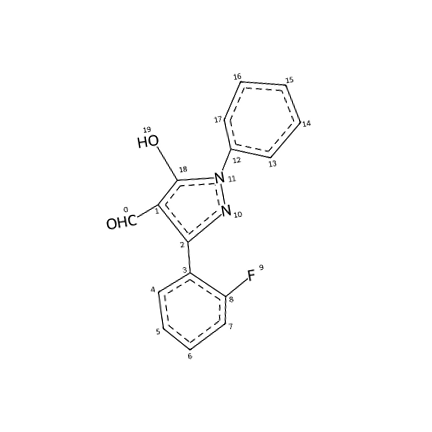 O=Cc1c(-c2ccccc2F)nn(-c2ccccc2)c1O